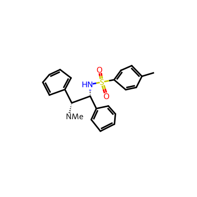 CN[C@H](c1ccccc1)[C@H](NS(=O)(=O)c1ccc(C)cc1)c1ccccc1